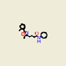 Cc1ccccc1-c1nc(CCCC(=O)NC2CCCCCC2)c(C)o1